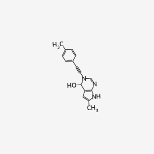 Cc1ccc(C#CN2C=Nc3[nH]c(C)cc3C2O)cc1